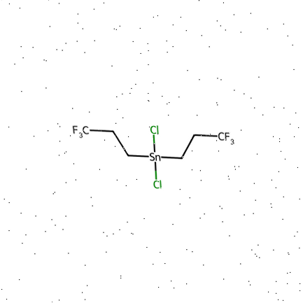 FC(F)(F)C[CH2][Sn]([Cl])([Cl])[CH2]CC(F)(F)F